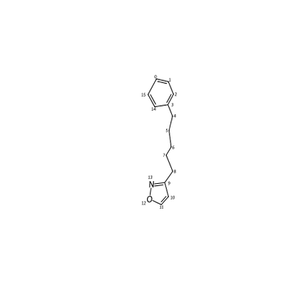 c1ccc(CCCCCc2ccon2)cc1